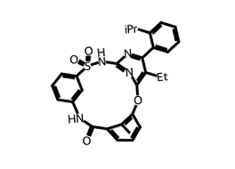 CCc1c2nc(nc1-c1ccccc1C(C)C)NS(=O)(=O)c1cccc(c1)NC(=O)c1cccc(c1C)O2